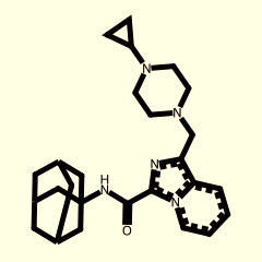 O=C(NC12CC3CC(CC(C3)C1)C2)c1nc(CN2CCN(C3CC3)CC2)c2ccccn12